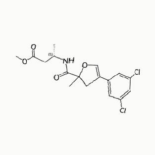 COC(=O)C[C@H](C)NC(=O)C1(C)CC(c2cc(Cl)cc(Cl)c2)=CO1